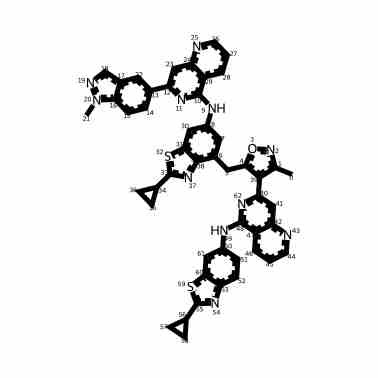 Cc1noc(Cc2cc(Nc3nc(-c4ccc5c(cnn5C)c4)cc4ncccc34)cc3sc(C4CC4)nc23)c1-c1cc2ncccc2c(Nc2ccc3nc(C4CC4)sc3c2)n1